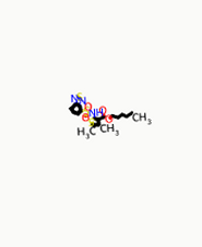 CCCCCCOC(=O)c1c(NS(=O)(=O)c2cccc3nsnc23)sc(C)c1C